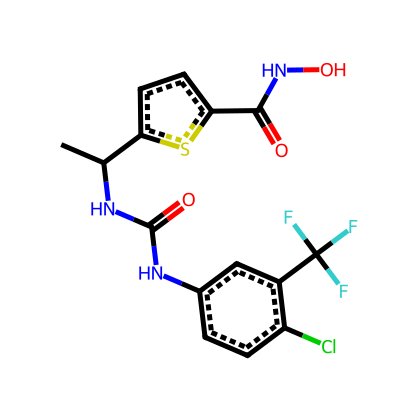 CC(NC(=O)Nc1ccc(Cl)c(C(F)(F)F)c1)c1ccc(C(=O)NO)s1